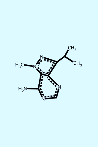 CC(C)c1nn(C)c2c(N)ncnc12